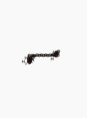 COc1cc(C(=O)NC2CCN(CCOCCOCCOCCOCCOCCOCCOCCNC(=O)COc3cccc4c3C(=O)N(C3CCC(=O)NC3=O)C4=O)CC2)c(F)cc1Nc1ncc2c(n1)N(C1CCCC1)CC(F)(F)C(=O)N2C